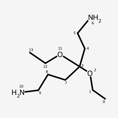 CCOC(CCN)(CCCN)OCC